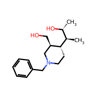 C[C@@H]([C@@H]1CCN(Cc2ccccc2)C[C@H]1CO)[C@@H](C)O